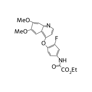 CCOC(=O)C(=O)Nc1ccc(Oc2ccnc3cc(OC)c(OC)cc23)c(F)c1